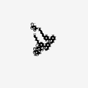 CC(=O)CC(=O)[O-].CC(=O)CC(=O)[O-].CC(=O)CC(=O)[O-].CCCCCCc1ccc(-c2nccc3ccccc23)cc1.CCCCCCc1ccc(-c2nccc3ccccc23)cc1.[Ir+3]